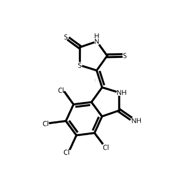 N=C1N/C(=C2/SC(=S)NC2=S)c2c(Cl)c(Cl)c(Cl)c(Cl)c21